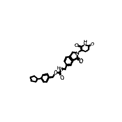 O=C1CCC(N2Cc3ccc(CNC(=O)OCc4ccc(C5CCCC5)cc4)cc3C2=O)C(=O)N1